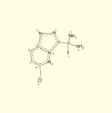 NC(N)(F)c1nnc2ccc(Cl)nn12